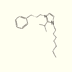 CCCCCCCn1cc[n+](CCCc2ccccc2)c1C(C)C